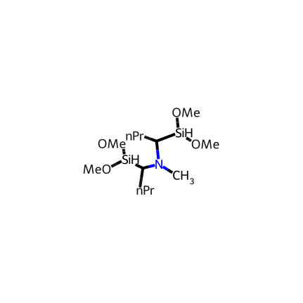 CCCC(N(C)C(CCC)[SiH](OC)OC)[SiH](OC)OC